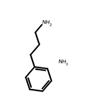 N.NCCCc1ccccc1